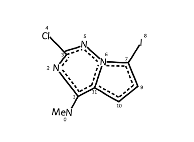 CNc1nc(Cl)nn2c(I)ccc12